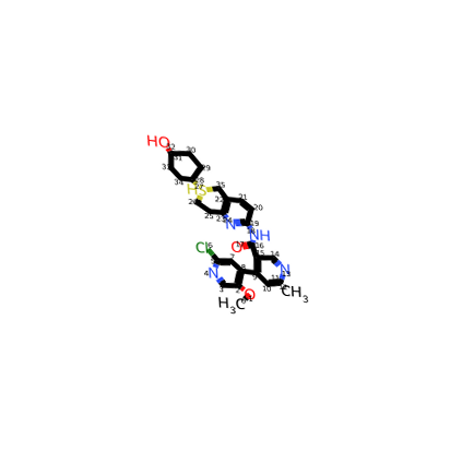 COc1cnc(Cl)cc1-c1cc(C)ncc1C(=O)Nc1ccc2c(n1)CC[SH](C1CCC(O)CC1)C2